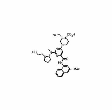 COc1cc(NC(=O)c2cc(N3CCN(C(=O)O)[C@@H](CC#N)C3)nc(N(C)[C@H]3CCCN3CCO)n2)c2ccccc2c1